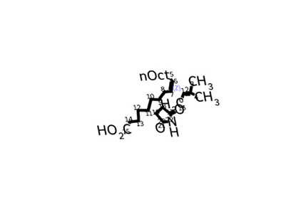 CC=C(C)C.CCCCCCCC/C=C\CCCCCCCC(=O)O.O=C1CCC(=O)N1